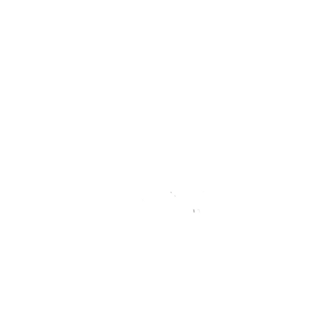 CCCC(C)N(C(C)C)C1(CI)COC1